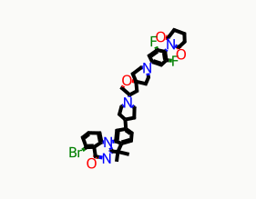 CC1(C)c2ccc(C3CCN(C4COC5(CCN(c6cc(F)c(N7C(=O)CCCC7=O)c(F)c6)CC5)C4)CC3)cc2-n2c1nc(=O)c1c(Br)cccc12